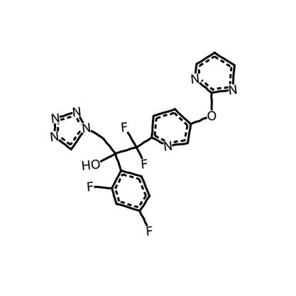 OC(Cn1cnnn1)(c1ccc(F)cc1F)C(F)(F)c1ccc(Oc2ncccn2)cn1